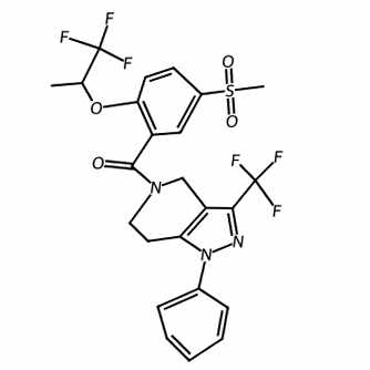 CC(Oc1ccc(S(C)(=O)=O)cc1C(=O)N1CCc2c(c(C(F)(F)F)nn2-c2ccccc2)C1)C(F)(F)F